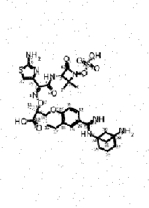 CC1(C)[C@H](NC(=O)/C(=N\O[C@](C)(C(=O)O)[C@H]2CCc3cc(C(=N)NC45CCCC(N)(C4)C5)ccc3O2)c2csc(N)n2)C(=O)N1OS(=O)(=O)O